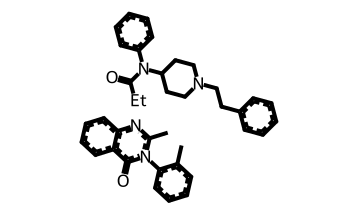 CCC(=O)N(c1ccccc1)C1CCN(CCc2ccccc2)CC1.Cc1ccccc1-n1c(C)nc2ccccc2c1=O